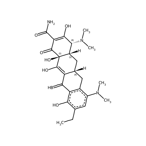 B=C1C2=C(O)[C@]3(O)C(=O)C(C(N)=O)=C(O)[C@H](N(C)C)[C@@H]3C[C@@H]2Cc2c(N(C)C)cc(CC)c(O)c21